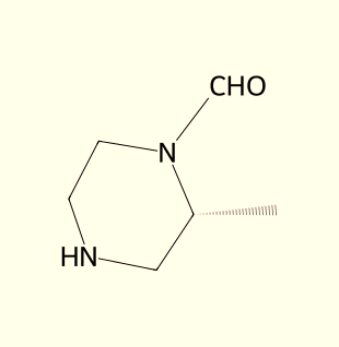 C[C@@H]1CNCCN1C=O